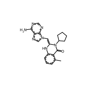 Cc1cccc2c1C(=O)N(C1CCCC1)C(=Cn1cnc3c(N)ncnc31)N2